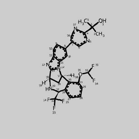 CC(C)(O)c1ncc(-c2ccc3nc4n(c3c2)[C@@H]2C[C@H]4N[C@H](C(F)(F)F)c3cccc(OC(F)F)c32)cn1